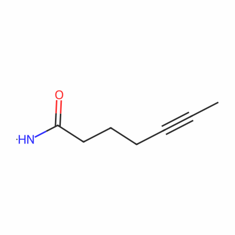 CC#CCCCC([NH])=O